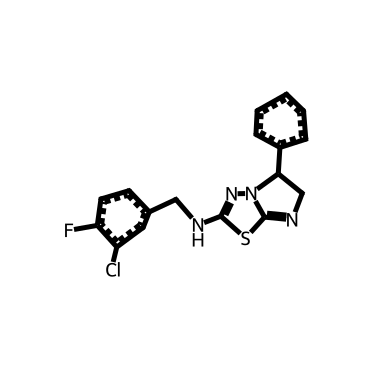 Fc1ccc(CNC2=NN3C(=NCC3c3ccccc3)S2)cc1Cl